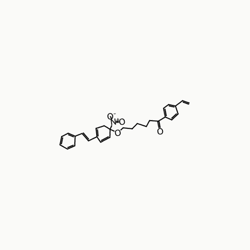 C=Cc1ccc(C(=O)CCCCCOC2([N+](=O)[O-])C=CC(C=Cc3ccccc3)=CC2)cc1